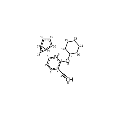 C#Cc1cccnc1OC1CCCCC1.c1cc2cc-2c1